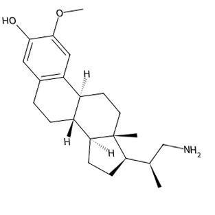 COc1cc2c(cc1O)CC[C@@H]1[C@@H]2CC[C@]2(C)[C@@H]([C@H](C)CN)CC[C@@H]12